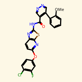 COc1ccccc1-c1cnncc1C(=O)Nc1nc2ccc(Oc3ccc(Cl)c(F)c3)nc2s1